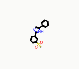 CS(=O)(=O)c1cccc(-c2ncc(-c3ccccc3)[nH]2)c1